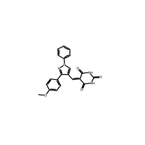 COc1ccc(-c2nn(-c3ccccc3)cc2C=C2C(=O)NC(=O)NC2=O)cc1